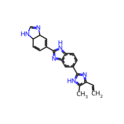 C=Cc1nc(-c2ccc3[nH]c(C4=CC5N=CNC5C=C4)nc3c2)[nH]c1C